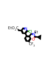 CCOC(=O)Cc1cnc(Cl)c(-c2ccc(C(F)(F)F)cc2CN(CC)C(=O)C2CC2)c1